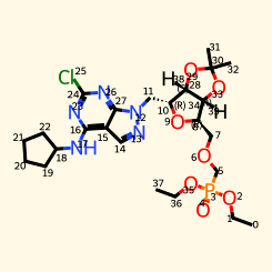 CCOP(=O)(COC[C@H]1O[C@H](Cn2ncc3c(NC4CCCC4)nc(Cl)nc32)[C@@H]2OC(C)(C)O[C@@H]21)OCC